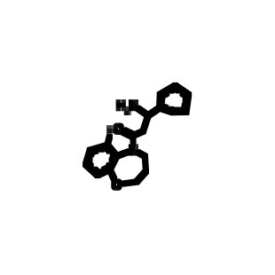 NC(CC(=O)N1CCCOc2cccc(F)c21)c1ccccc1